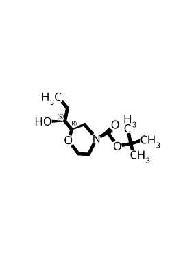 CC[C@H](O)[C@H]1CN(C(=O)OC(C)(C)C)CCO1